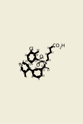 Cc1cnccc1-c1cccc([C@H](C)N(CCCCC(=O)O)S(=O)(=O)c2cccc(Cl)c2C)c1